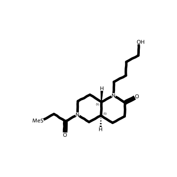 CSCC(=O)N1CC[C@H]2[C@@H](CCC(=O)N2CCCCO)C1